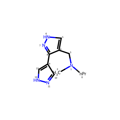 CCCN(C)Cc1c[nH]nc1-c1cn[nH]c1